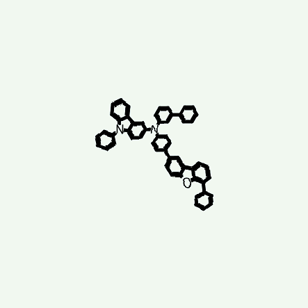 c1ccc(-c2cccc(N(c3ccc(-c4ccc5oc6c(-c7ccccc7)cccc6c5c4)cc3)c3ccc4c(c3)c3ccccc3n4-c3ccccc3)c2)cc1